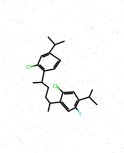 CC(C)c1ccc(C(C)CCC(C)c2cc(F)c(C(C)C)cc2Cl)c(Cl)c1